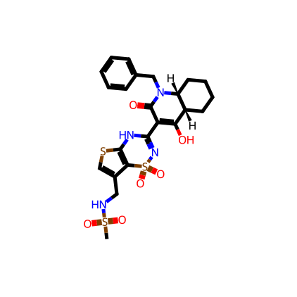 CS(=O)(=O)NCc1csc2c1S(=O)(=O)N=C(C1=C(O)[C@H]3CCCC[C@H]3N(Cc3ccccc3)C1=O)N2